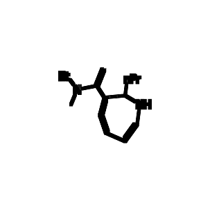 C=C(C1=C=CC=CNC1CCC)N(C)CC